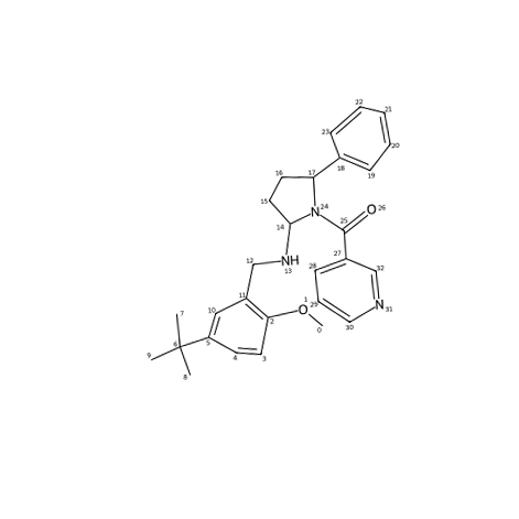 COc1ccc(C(C)(C)C)cc1CNC1CCC(c2ccccc2)N1C(=O)c1cccnc1